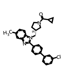 Cc1ccc2c(c1)nc(-c1ccc(-c3cccc(Cl)c3)cc1)n2C[C@@H]1CCN(C(=O)C2CC2)C1